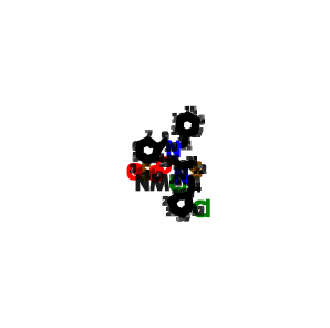 CNS(=O)(=O)c1cccc(CN(Cc2ccccc2)C(=O)c2csc(Cc3c(Cl)cccc3Cl)n2)c1